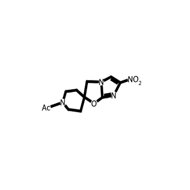 CC(=O)N1CCC2(CC1)Cn1cc([N+](=O)[O-])nc1O2